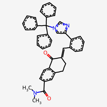 CN(C)C(=O)c1ccc2c(c1)CCC(=Cc1ccccc1-c1cn(C(c3ccccc3)(c3ccccc3)c3ccccc3)cn1)C2=O